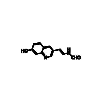 O=CNC=Cc1cnc2cc(O)ccc2c1